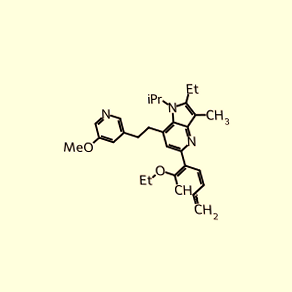 C=C/C=C\C(=C(/C)OCC)c1cc(CCc2cncc(OC)c2)c2c(n1)c(C)c(CC)n2C(C)C